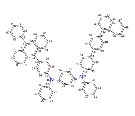 c1ccc(-c2c3ccccc3c(-c3ccc(N(c4ccccc4)c4ccc(N(c5ccccc5)c5ccc(-c6ccc(-c7cccc8ccccc78)cc6)cc5)cc4)cc3)c3ccccc23)cc1